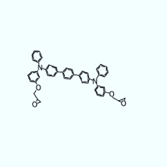 c1ccc(N(c2ccc(-c3ccc(-c4ccc(N(c5ccccc5)c5cccc(OCC6CO6)c5)cc4)cc3)cc2)c2cccc(OCC3CO3)c2)cc1